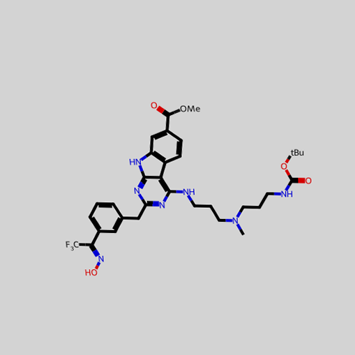 COC(=O)c1ccc2c(c1)[nH]c1nc(Cc3cccc(C(=NO)C(F)(F)F)c3)nc(NCCCN(C)CCCNC(=O)OC(C)(C)C)c12